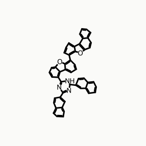 c1ccc2cc(C3=NC(c4ccc5ccccc5c4)NC(c4cccc5oc6c(-c7cccc8c7oc7ccc9ccccc9c78)cccc6c45)=N3)ccc2c1